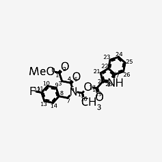 COC(=O)CC(=O)N(Cc1ccc(F)cc1)C(C)OC(=O)c1cc2ccccc2[nH]1